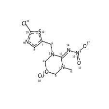 CN1COCN(Cc2cnc(Cl)s2)C1=N[N+](=O)[O-].[Cu]